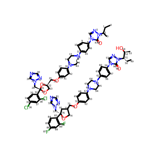 CCC(C)n1ncn(-c2ccc(N3CCN(c4ccc(OC[C@H]5CO[C@](Cn6cncn6)(c6ccc(Cl)cc6Cl)O5)cc4)CC3)cc2)c1=O.CC[C@@H]([C@H](C)O)n1ncn(-c2ccc(N3CCN(c4ccc(OCC5CO[C@@](Cn6cncn6)(c6ccc(F)cc6F)C5)cc4)CC3)cc2)c1=O